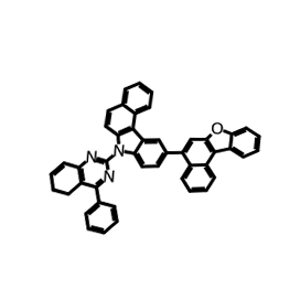 C1=Cc2nc(-n3c4ccc(-c5cc6oc7ccccc7c6c6ccccc56)cc4c4c5ccccc5ccc43)nc(-c3ccccc3)c2CC1